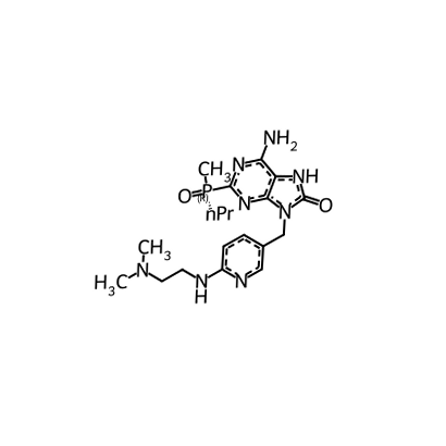 CCC[P@@](C)(=O)c1nc(N)c2[nH]c(=O)n(Cc3ccc(NCCN(C)C)nc3)c2n1